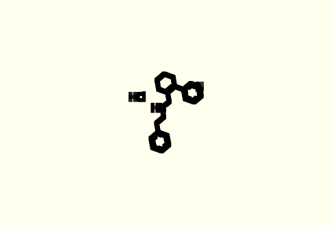 Cl.c1ccc(CCNCC2=C(c3cccnc3)CCCC2)cc1